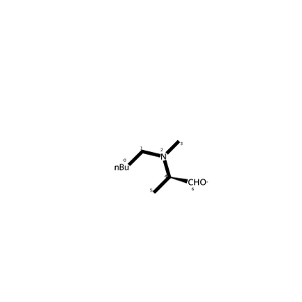 CCCCCN(C)[C@H](C)[C]=O